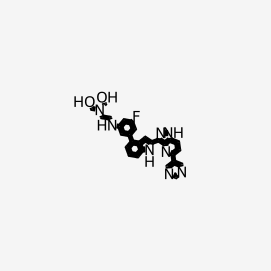 OCN(CO)CCNc1cc(F)cc(-c2cccc3[nH]c(-c4n[nH]c5ccc(-c6cncnc6)nc45)cc23)c1